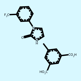 Cc1cc(C(=O)O)cc(C(=O)O)c1.O=c1[nH]ccn1-c1cccc(C(F)(F)F)c1